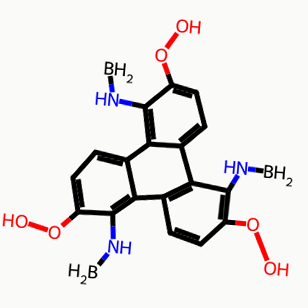 BNc1c(OO)ccc2c1c1ccc(OO)c(NB)c1c1ccc(OO)c(NB)c21